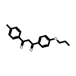 CCCOc1ccc(C(=O)CC(=O)c2ccc(C)cc2)cc1